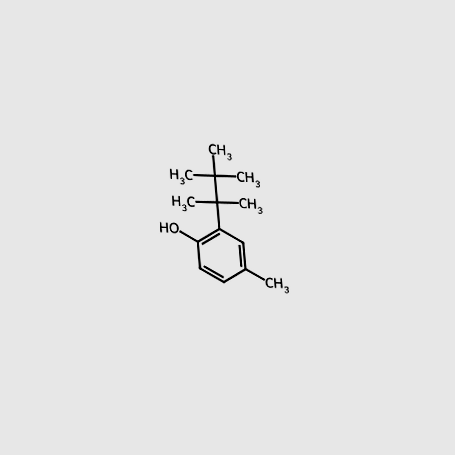 Cc1ccc(O)c(C(C)(C)C(C)(C)C)c1